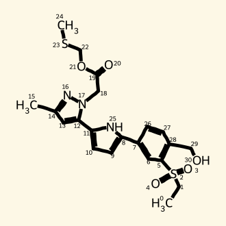 CCS(=O)(=O)c1cc(-c2ccc(-c3cc(C)nn3CC(=O)OCSC)[nH]2)ccc1CO